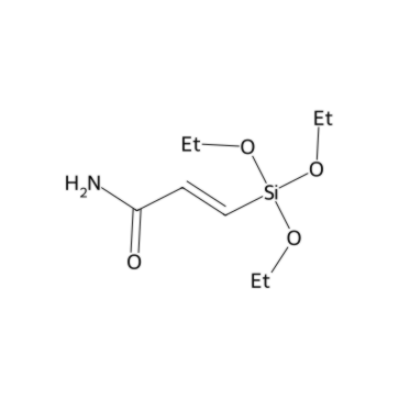 CCO[Si](C=CC(N)=O)(OCC)OCC